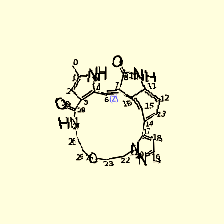 Cc1cc2c([nH]1)/C=C1\C(=O)Nc3ccc(cc31)-c1ccnn1CCOCCNC2=O